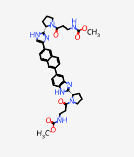 COC(=O)NCCC(=O)N1CCC[C@H]1c1nc(-c2ccc3cc(-c4ccc5[nH]c([C@@H]6CCCN6C(=O)CCNC(=O)OC)nc5c4)ccc3c2)c[nH]1